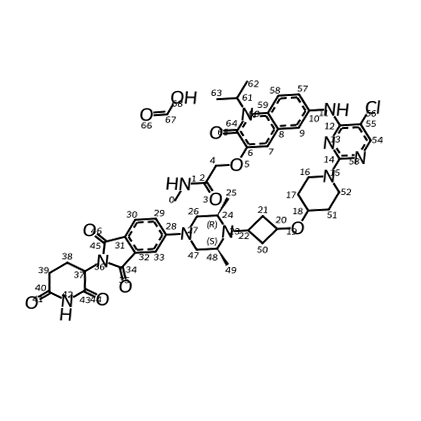 CNC(=O)COc1cc2cc(Nc3nc(N4CCC(OC5CC(N6[C@H](C)CN(c7ccc8c(c7)C(=O)N(C7CCC(=O)NC7=O)C8=O)C[C@@H]6C)C5)CC4)ncc3Cl)ccc2n(C(C)C)c1=O.O=CO